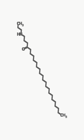 CCCCCCCCCCCCCCCCCCCCCC(=O)CCCNCCC